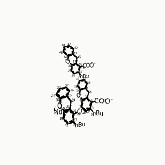 CCCCc1ccc2c(c1C(=O)[O-])Cc1ccccc1O2.CCCCc1ccc2c(c1C(=O)[O-])Cc1ccccc1O2.CCCCc1ccc2c(c1C(=O)[O-])Cc1ccccc1O2.[Nd+3]